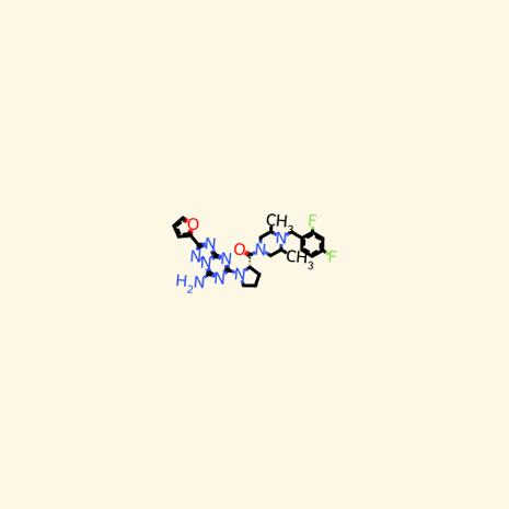 CC1CN(C(=O)[C@@H]2CCCN2c2nc(N)n3nc(-c4ccco4)nc3n2)CC(C)N1Cc1ccc(F)cc1F